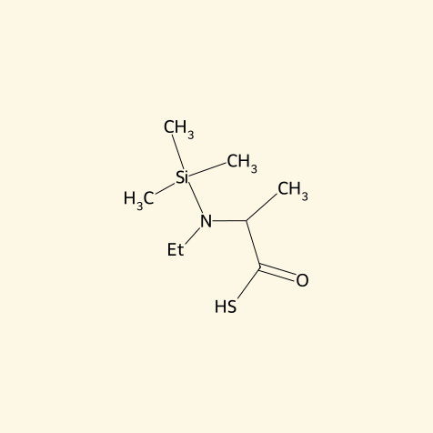 CCN(C(C)C(=O)S)[Si](C)(C)C